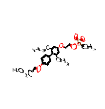 Cc1cc(OCCOS(C)(=O)=O)cc(C)c1-c1ccc(OCC(=O)O)cc1